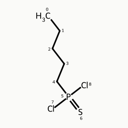 CCCCCP(=S)(Cl)Cl